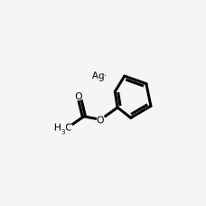 CC(=O)Oc1ccccc1.[Ag]